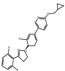 FC1=CC(c2ccc(OCC3CC3)nc2)=CCC1[C@H]1CCC(c2c(F)cccc2F)=N1